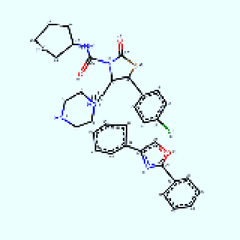 C1CNCCN1.CC1C(c2ccc(Cl)cc2)SC(=O)N1C(=O)NC1CCCCC1.c1ccc(-c2coc(-c3ccccc3)n2)cc1